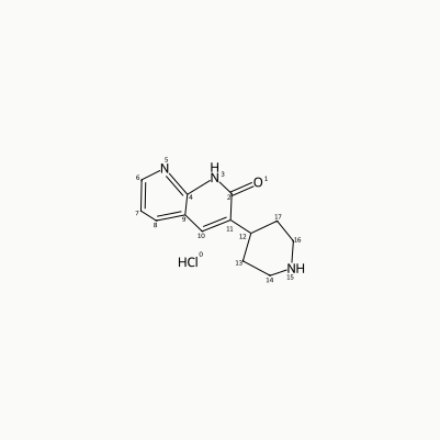 Cl.O=c1[nH]c2ncccc2cc1C1CCNCC1